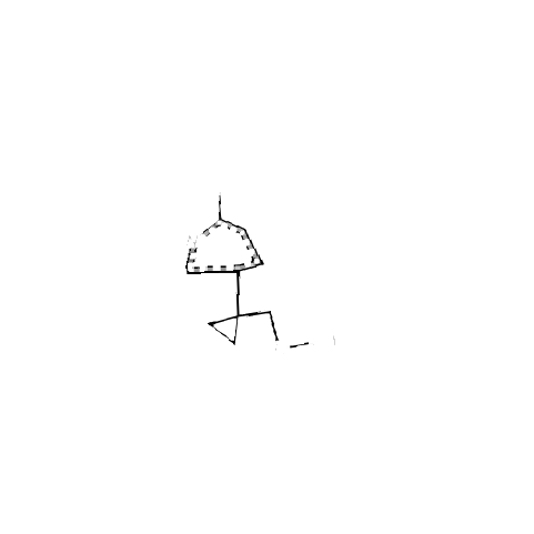 COCC1(c2ccc(Cl)nc2)CC1